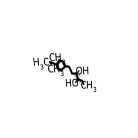 CC[C@@H](O)[C@H](O)CCc1ccc(C(C)(C)C)cc1